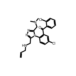 C=CCNCc1nnc(CN(C)C)n1-c1ccc(Cl)cc1C(=O)c1ccccc1Cl